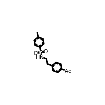 CC(=O)c1ccc(CCNS(=O)(=O)c2ccc(C)cc2)cc1